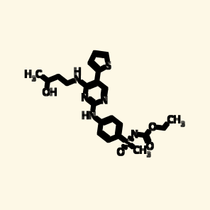 CCOC(=O)N=S(C)(=O)c1ccc(Nc2ncc(-c3cccs3)c(NCCC(C)O)n2)cc1